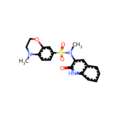 CN1CCOc2cc(S(=O)(=O)N(C)c3cc4ccccc4[nH]c3=O)ccc21